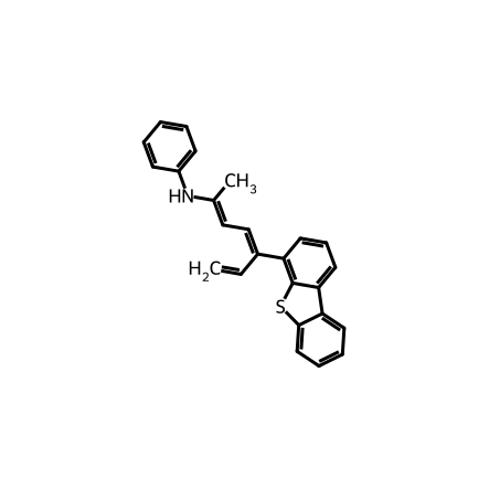 C=C/C(=C\C=C(/C)Nc1ccccc1)c1cccc2c1sc1ccccc12